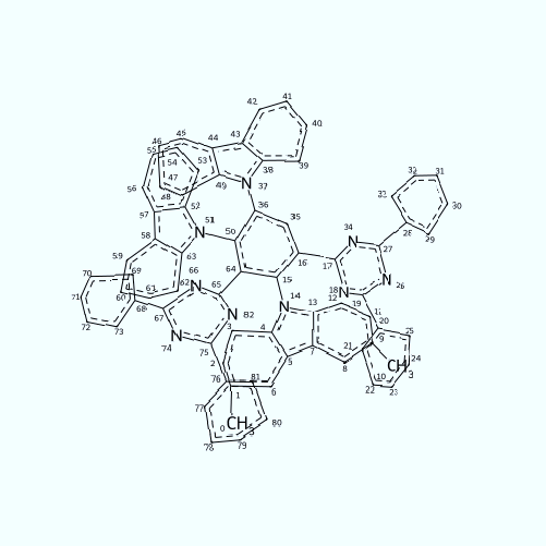 Cc1ccc2c(c1)c1cc(C)ccc1n2-c1c(-c2nc(-c3ccccc3)nc(-c3ccccc3)n2)cc(-n2c3ccccc3c3ccccc32)c(-n2c3ccccc3c3ccccc32)c1-c1nc(-c2ccccc2)nc(-c2ccccc2)n1